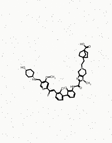 COc1cc(/C(F)=C/c2cccc(-c3cccc(NC(=O)c4nc5c(n4C)CCN(CCC46CCC(C(=O)O)(CC4)C6)C5)c3Cl)c2Cl)ncc1CN[C@H]1CC[C@@H](O)CC1